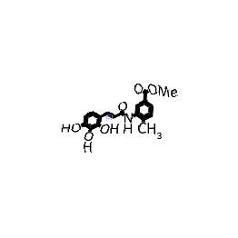 COC(=O)c1ccc(C)c(NC(=O)/C=C/c2ccc(O)c(O)c2O)c1